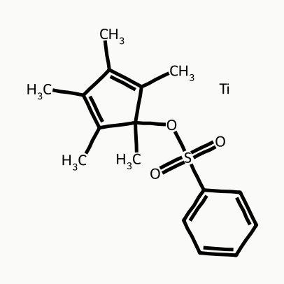 CC1=C(C)C(C)(OS(=O)(=O)c2ccccc2)C(C)=C1C.[Ti]